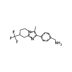 Cc1c(-c2ccc(CN)cc2)nc2n1CCC(C(F)(F)F)C2